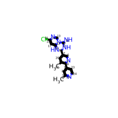 Cc1cc(-c2ncc(CNC(=N)n3cnc(Cl)cc3=N)cc2C)ccn1